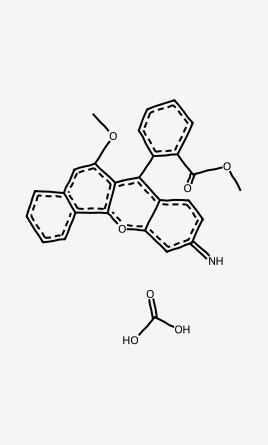 COC(=O)c1ccccc1-c1c2ccc(=N)cc-2oc2c1c(OC)cc1ccccc12.O=C(O)O